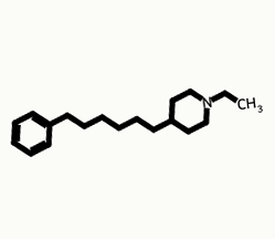 CCN1CCC(CCCCCCc2ccccc2)CC1